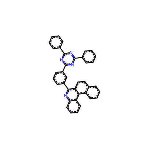 c1ccc(-c2nc(-c3ccccc3)nc(-c3cccc(-c4nc5ccccc5c5c4ccc4ccccc45)c3)n2)cc1